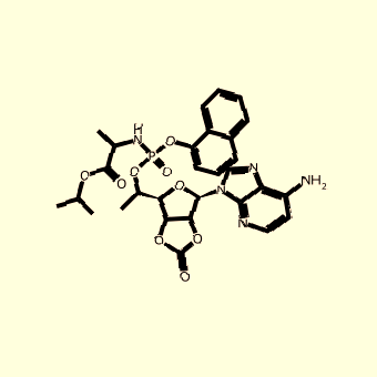 CC(C)OC(=O)C(C)NP(=O)(Oc1cccc2ccccc12)OC(C)[C@H]1O[C@@H](n2cnc3c(N)ccnc32)C2OC(=O)OC21